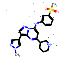 Cn1cc(-c2cnn3c(Nc4cccc(S(C)(=O)=O)c4)cc(C4CCCNC4)nc23)cn1